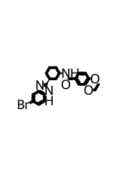 O=C(N[C@@H]1CCC[C@H](c2nc3cc(Br)ccc3[nH]2)C1)c1ccc2c(c1)OCCO2